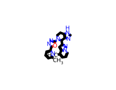 Cc1cccc(-c2nnc(N3CCc4[nH]cnc4C3c3cc4c(C)cccn4n3)o2)n1